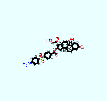 C[C@]12C[C@H](O)[C@H]3[C@@H](CCC4=CC(=O)C=C[C@@]43C)[C@@H]1C[C@@H](O[C@H](O)c1ccc(S(=O)(=O)c3ccc(N)cc3)cc1)[C@@H]2C(=O)CO